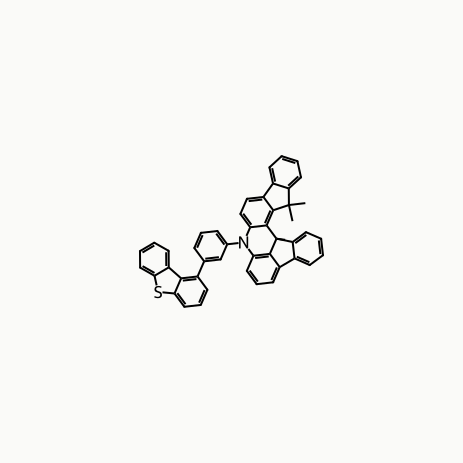 CC1(C)c2ccccc2-c2ccc3c(c21)C1(C)c2ccccc2-c2cccc(c21)N3c1cccc(-c2cccc3sc4ccccc4c23)c1